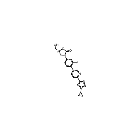 O=C1O[C@@H](CO)CN1c1ccc(-c2ccc(-c3nnn(C4CC4)n3)nc2)c(F)c1